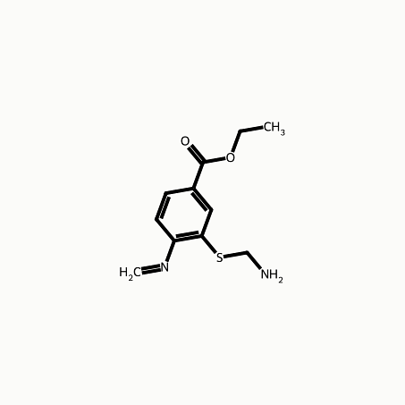 C=Nc1ccc(C(=O)OCC)cc1SCN